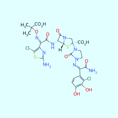 CC(C)(O/N=C(\C(=O)N[C@@H]1C(=O)N2C[C@@](C(=O)O)(N3CCN(/N=C(\C(N)=O)c4ccc(O)c(O)c4Cl)C3=O)S[C@H]12)c1nc(N)sc1Cl)C(=O)O